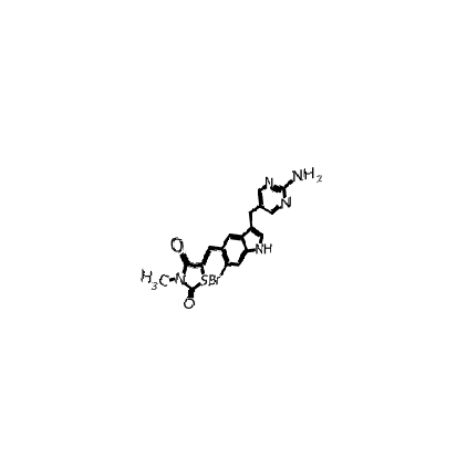 CN1C(=O)S/C(=C\c2cc3c(Cc4cnc(N)nc4)c[nH]c3cc2Br)C1=O